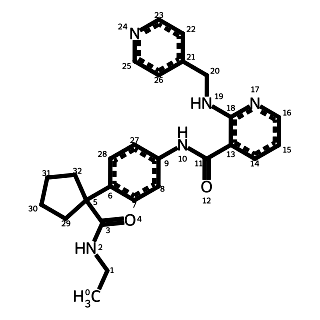 CCNC(=O)C1(c2ccc(NC(=O)c3cccnc3NCc3ccncc3)cc2)CCCC1